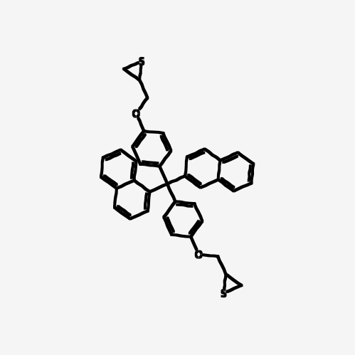 c1ccc2cc(C(c3ccc(OCC4CS4)cc3)(c3ccc(OCC4CS4)cc3)c3cccc4ccccc34)ccc2c1